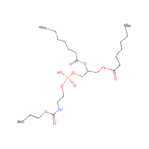 CCCCCCCCCCCCCCCC(=O)OCC(COP(=O)(O)OCCNC(=O)OCCOC)OC(=O)CCCCCCCCCCCCCCC